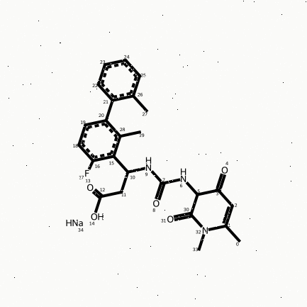 CC1=CC(=O)C(NC(=O)NC(CC(=O)O)c2c(F)ccc(-c3ccccc3C)c2C)C(=O)N1C.[NaH]